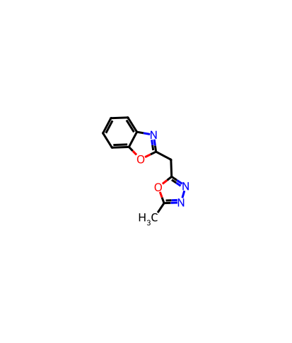 Cc1nnc(Cc2nc3ccccc3o2)o1